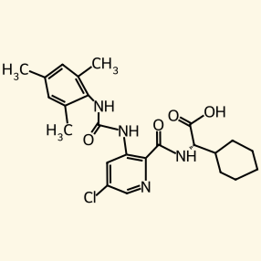 Cc1cc(C)c(NC(=O)Nc2cc(Cl)cnc2C(=O)N[C@H](C(=O)O)C2CCCCC2)c(C)c1